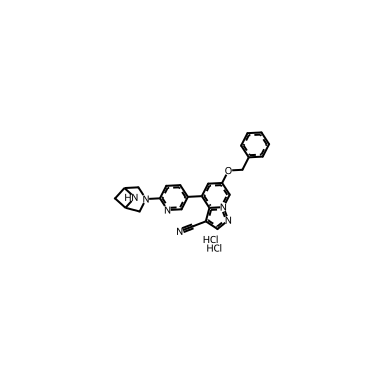 Cl.Cl.N#Cc1cnn2cc(OCc3ccccc3)cc(-c3ccc(N4CC5CC(C4)N5)nc3)c12